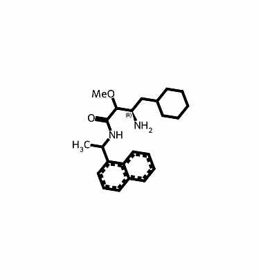 COC(C(=O)NC(C)c1cccc2ccccc12)[C@H](N)CC1CCCCC1